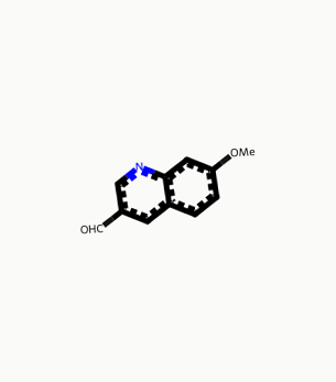 COc1ccc2cc(C=O)cnc2c1